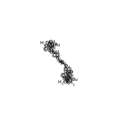 C[C@@H](C(=O)N[C@H](C(=O)N1CCC[C@H]1C(=O)N[C@@H]1CCCc2c(OCCN3CCN(CCOc4cccc5c4CCC[C@H]5NC(=O)[C@@H]4CCCN4C(=O)[C@@H](NC(=O)[C@H](C)N(C)C(=O)OC(C)(C)C)C4CCCCC4)CC3)cccc21)C1CCCCC1)N(C)C(=O)OC(C)(C)C